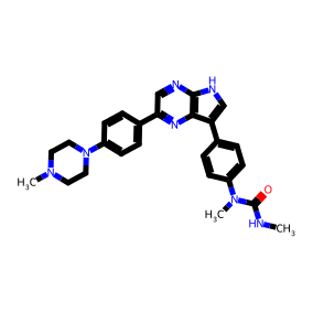 CNC(=O)N(C)c1ccc(-c2c[nH]c3ncc(-c4ccc(N5CCN(C)CC5)cc4)nc23)cc1